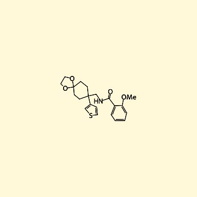 COc1ccccc1C(=O)NCC1(c2ccsc2)CCC2(CC1)OCCO2